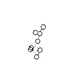 c1ccc(N(c2ccc(-c3cc4oc5ccccc5c4c4ccccc34)cc2)c2cccc3c4ccccc4n(-c4ccccc4)c23)cc1